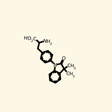 CC1(C)C(=O)N(c2ccc(CC(N)C(=O)O)cc2)c2ccccc21